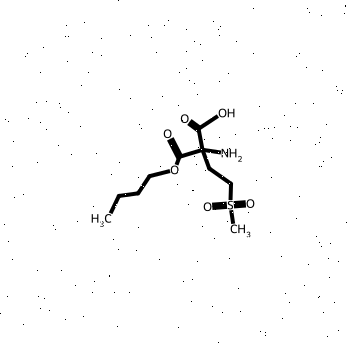 CCCCOC(=O)C(N)(CCS(C)(=O)=O)C(=O)O